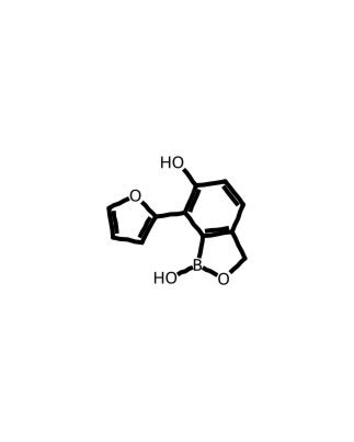 OB1OCc2ccc(O)c(-c3ccco3)c21